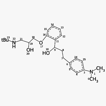 CN(C)c1ccc(CCC(O)c2ccccc2OCC(O)CNC(C)(C)C)cc1